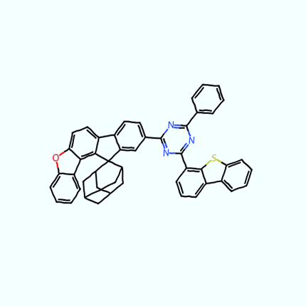 c1ccc(-c2nc(-c3ccc4c(c3)C3(c5c-4ccc4oc6ccccc6c54)C4CC5CC(C4)CC3C5)nc(-c3cccc4c3sc3ccccc34)n2)cc1